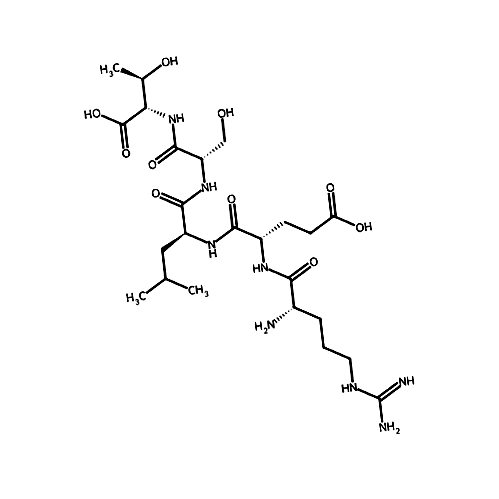 CC(C)C[C@H](NC(=O)[C@H](CCC(=O)O)NC(=O)[C@@H](N)CCCNC(=N)N)C(=O)N[C@@H](CO)C(=O)N[C@H](C(=O)O)[C@@H](C)O